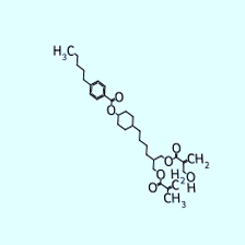 C=C(C)C(=O)OCC(CCCCC1CCC(OC(=O)c2ccc(CCCCC)cc2)CC1)COC(=O)C(=C)CO